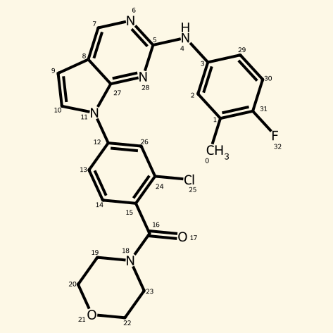 Cc1cc(Nc2ncc3ccn(-c4ccc(C(=O)N5CCOCC5)c(Cl)c4)c3n2)ccc1F